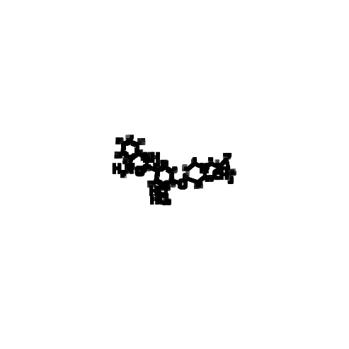 CC1(CN2CCC(Oc3ccc(C(=O)Nc4ccccc4N)cc3)CC2)CC1.Cl.Cl